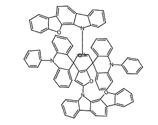 c1ccc(N2c3ccccc3C3(c4ccccc42)c2cc(-n4c5ccccc5c5ccc6c7ccccc7oc6c54)oc2C2(c4ccccc4N(c4ccccc4)c4ccccc42)c2cc(-n4c5ccccc5c5ccc6c7ccccc7oc6c54)oc23)cc1